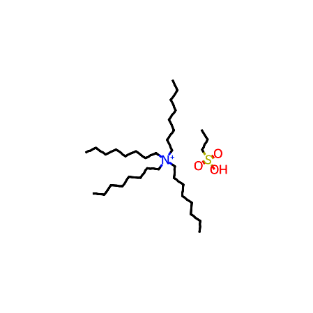 CCCCCCCC[N+](CCCCCCCC)(CCCCCCCC)CCCCCCCC.CCCS(=O)(=O)O